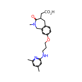 Cc1cc(C)nc(NCCCOc2ccc3c(c2)CN(C)C(=O)C(CC(=O)O)C3)c1